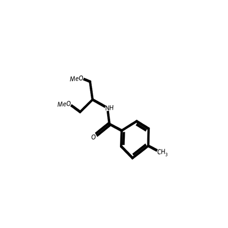 COCC(COC)NC(=O)c1ccc(C)cc1